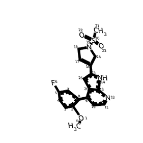 COc1ccc(F)cc1-c1ccnc2[nH]c(C3=CCN(S(C)(=O)=O)C3)cc12